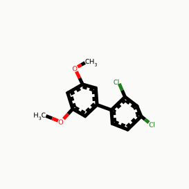 COc1cc(OC)cc(-c2ccc(Cl)[c]c2Cl)c1